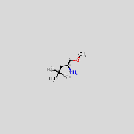 COCC(N)CC(C)(C)C